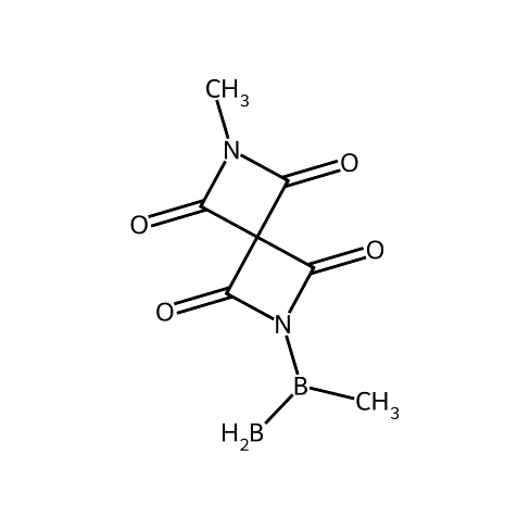 BB(C)N1C(=O)C2(C(=O)N(C)C2=O)C1=O